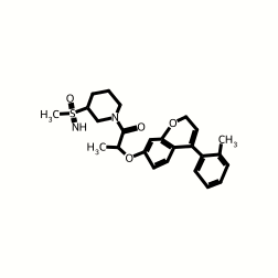 Cc1ccccc1C1=CCOc2cc(OC(C)C(=O)N3CCCC(S(C)(=N)=O)C3)ccc21